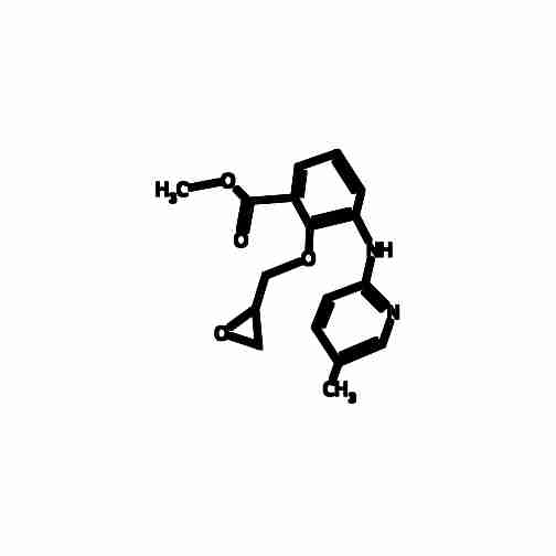 COC(=O)c1cccc(Nc2ccc(C)cn2)c1OCC1CO1